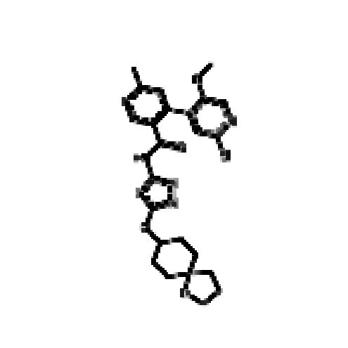 COc1cnc(Cl)cc1-c1cc(C)ncc1C(=O)Nc1nnc(OC2CCC3(CCCO3)CC2)s1